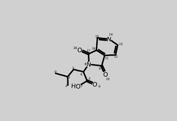 CC(C)CC(C(=O)O)N1C(=O)c2ccncc2C1=O